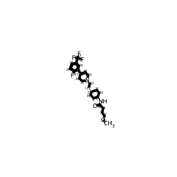 COCCCC(=O)N[C@H]1CC[C@H](CCN2CC=C(c3cc(C(F)(F)F)ccc3F)CC2)CC1